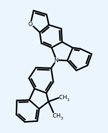 CC1(C)c2ccccc2-c2ccc(-n3c4ccccc4c4cc5ccoc5cc43)cc21